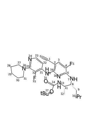 C#Cc1cc(F)c(N[C@H](CC(C)C)[C@H](C)NC(=O)OC(C)(C)C)nc1Nc1ccnc(N2CCCCC2)c1F